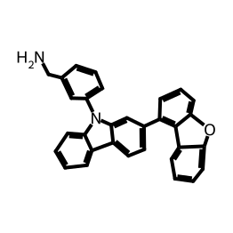 NCc1cccc(-n2c3ccccc3c3ccc(-c4cccc5oc6ccccc6c45)cc32)c1